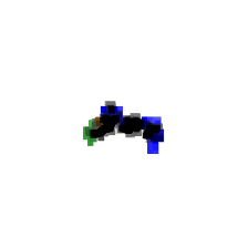 FC(F)(F)Cc1cc2c(N3CCC4(CC(Nc5cn[nH]c5)C4)C3)ncnc2s1